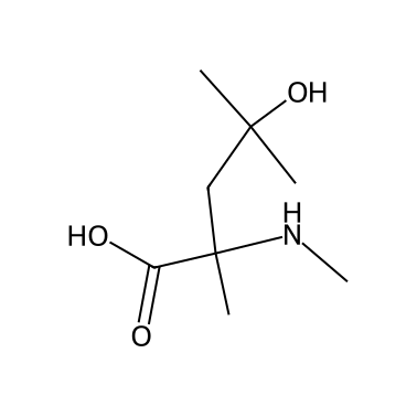 CNC(C)(CC(C)(C)O)C(=O)O